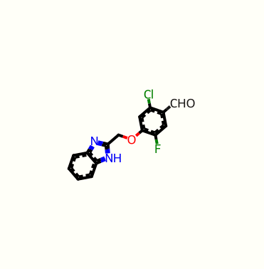 O=Cc1cc(F)c(OCc2nc3ccccc3[nH]2)cc1Cl